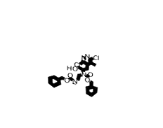 Cc1c(Cl)nnc(Cl)c1CC(CO)N(CCN(C)C(=O)OCc1ccccc1)C(=O)OCc1ccccc1